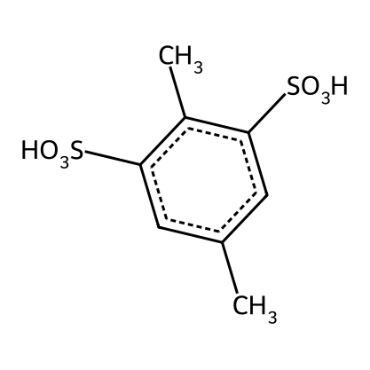 Cc1cc(S(=O)(=O)O)c(C)c(S(=O)(=O)O)c1